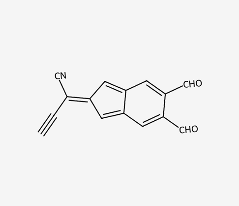 C#CC(C#N)=C1C=c2cc(C=O)c(C=O)cc2=C1